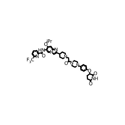 CC(C)Oc1cc2nc(C3CCN(CC(=O)N4CCN(c5ccc(OC6CCC(=O)NC6=O)cc5)CC4)CC3)cn2cc1NC(=O)c1cccc(C(F)(F)F)n1